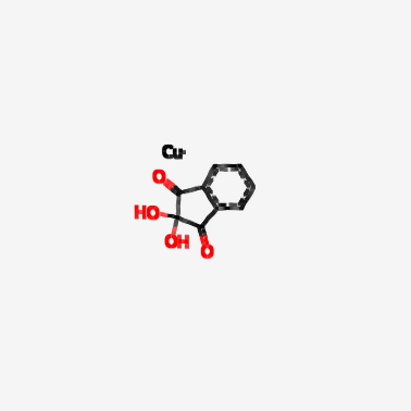 O=C1c2ccccc2C(=O)C1(O)O.[Cu]